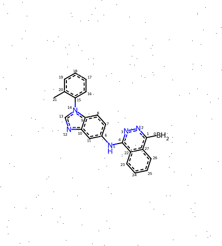 Bc1nnc(Nc2ccc3c(c2)ncn3-c2ccccc2C)c2ccccc12